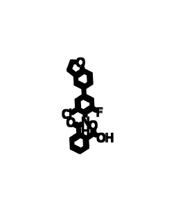 O=C(O)c1ccccc1C(=O)Nc1c(F)cc(-c2ccc3c(c2)CCO3)cc1Cl